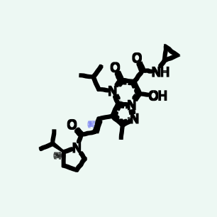 Cc1nn2c(O)c(C(=O)NC3CC3)c(=O)n(CC(C)C)c2c1/C=C/C(=O)N1CCC[C@H]1C(C)C